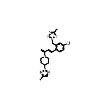 C=C(/C=C/c1ccc(Cl)cc1Cn1nnc(C)n1)N1CCC(n2ncc(C)n2)CC1